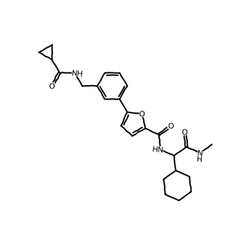 CNC(=O)C(NC(=O)c1ccc(-c2cccc(CNC(=O)C3CC3)c2)o1)C1CCCCC1